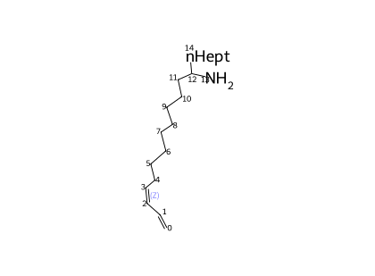 C=C/C=C\CCCCCCCCC(N)CCCCCCC